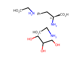 CC(C)C[C@H](N)C(=O)O.NCC(=O)O.NCC(=O)O.OCC(O)CO